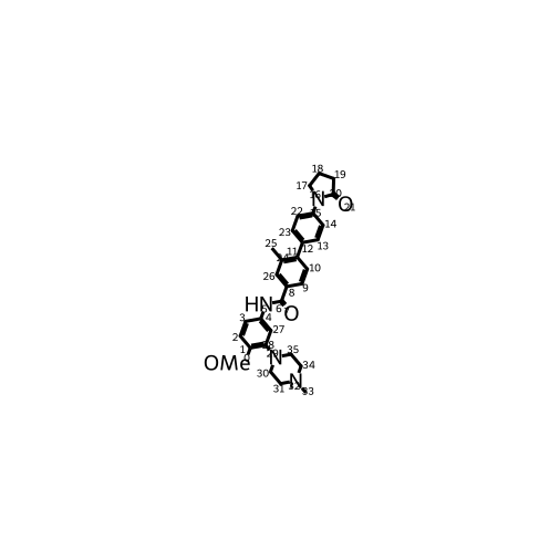 COc1ccc(NC(=O)c2ccc(-c3ccc(N4CCCC4=O)cc3)c(C)c2)cc1N1CCN(C)CC1